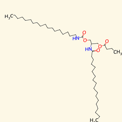 CCCCCCCCCCCCCCCCCCNC(=O)OCC(COC(=O)CCC)NC(=O)CCCCCCCCCCCCCCCCC